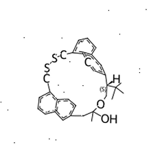 CC1(O)Cc2ccc3c(cccc3c2)CSSCc2cccc3cc(ccc23)[C@H](C(C)(C)C)CO1